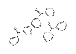 O=C(c1ccccc1)c1ccccc1.O=C(c1ccccc1)c1ccccc1.O=C(c1ccccc1)c1ccccc1